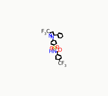 O=C(NS(=O)(=O)c1ccc(-n2nc(C(F)(F)F)cc2C2=CCCC=C2)cc1)c1ccc(C(F)(F)F)cc1